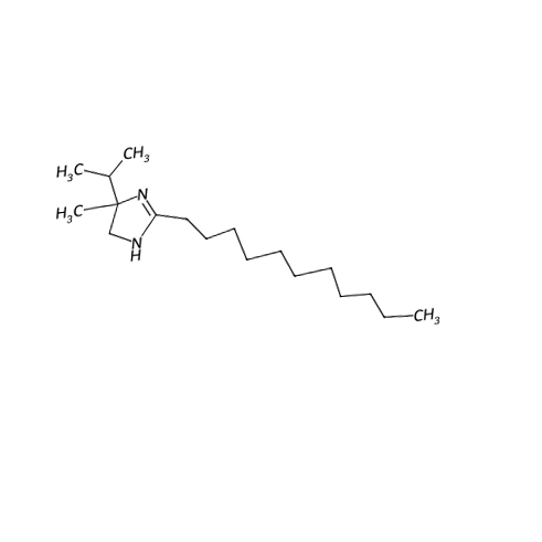 CCCCCCCCCCCC1=NC(C)(C(C)C)CN1